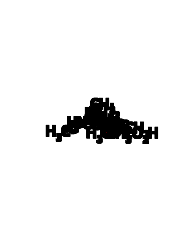 C=C(C)[C@@H]1CC[C@]2(CC(=O)NCc3ccc(C)cc3)CC[C@]3(C)[C@H](CC[C@@H]4[C@@]5(C)CC[C@H](OC(=O)CC(C)(C)C(=O)O)C(C)(C)[C@@H]5CC[C@]43C)[C@@H]12